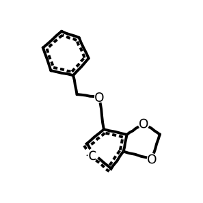 [c]1cc2c(c(OCc3ccccc3)c1)OCO2